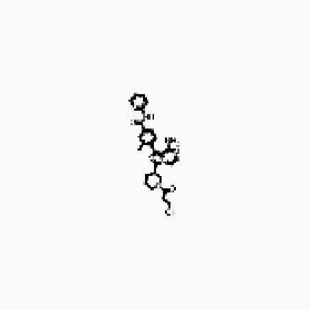 Cc1cc(C(=O)Nc2ccccn2)ccc1-c1nc(C2CCCN(C(=O)CCO)C2)n2ccnc(N)c12